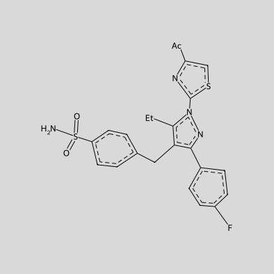 CCc1c(Cc2ccc(S(N)(=O)=O)cc2)c(-c2ccc(F)cc2)nn1-c1nc(C(C)=O)cs1